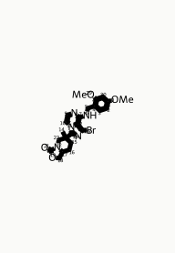 COc1ccc(CNc2nccn3c(C4(C)CCC5COC(=O)N5C4)nc(Br)c23)c(OC)c1